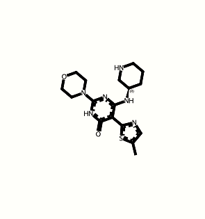 Cc1cnc(-c2c(N[C@@H]3CCCNC3)nc(N3CCOCC3)[nH]c2=O)s1